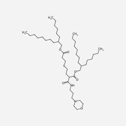 CCCCCCCCC(CCCCCC)COC(=O)CCSCCC(C(=O)NCCCN1CCOCC1)C(=O)OCC(CCCCCC)CCCCCCCC